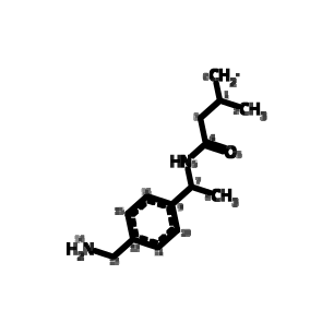 [CH2]C(C)CC(=O)NC(C)c1ccc(CN)cc1